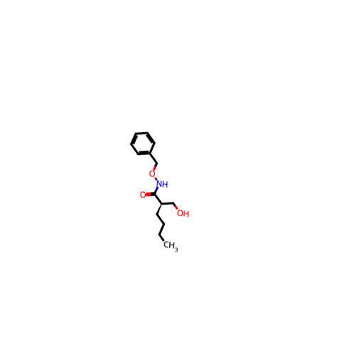 CCCC[C@H](CO)C(=O)NOCc1ccccc1